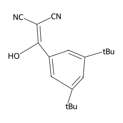 CC(C)(C)c1cc(C(O)=C(C#N)C#N)cc(C(C)(C)C)c1